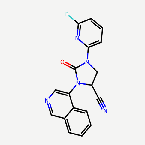 N#CC1CN(c2cccc(F)n2)C(=O)N1c1cncc2ccccc12